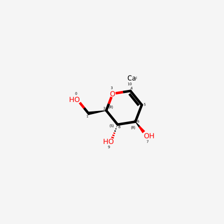 OC[C@H]1OC=C[C@@H](O)[C@@H]1O.[Ca]